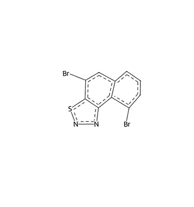 Brc1cc2cccc(Br)c2c2nnsc12